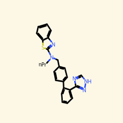 CCCN(Cc1ccc(-c2ccccc2-c2nc[nH]n2)cc1)c1nc2ccccc2s1